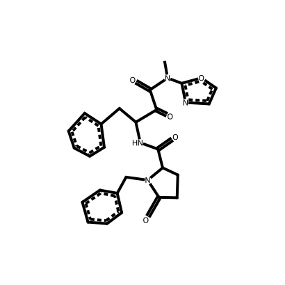 CN(C(=O)C(=O)C(Cc1ccccc1)NC(=O)C1CCC(=O)N1Cc1ccccc1)c1ncco1